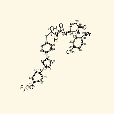 CC(Cc1ccc(-c2ncn(-c3ccc(OC(F)(F)F)cc3)n2)cc1)NC(=O)N=C1SCC(=O)N1c1cc(Cl)ccc1C(C)C